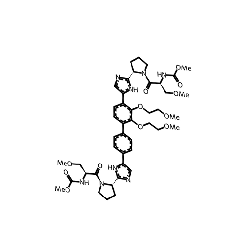 COCCOc1c(-c2ccc(-c3cnc([C@@H]4CCCN4C(=O)[C@H](COC)NC(=O)OC)[nH]3)cc2)ccc(-c2cnc([C@@H]3CCCN3C(=O)[C@H](COC)NC(=O)OC)[nH]2)c1OCCOC